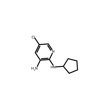 Nc1cc(Cl)cnc1NC1CCCC1